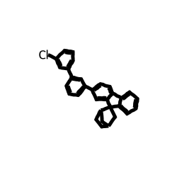 Clc1cccc(-c2cccc(-c3ccc4c(c3)C3(CC5CCC3C5)c3ccccc3-4)c2)c1